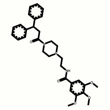 COc1cc(C(=O)NCCN2CCN(C(=O)CC(c3ccccc3)c3ccccc3)CC2)cc(OC)c1OC